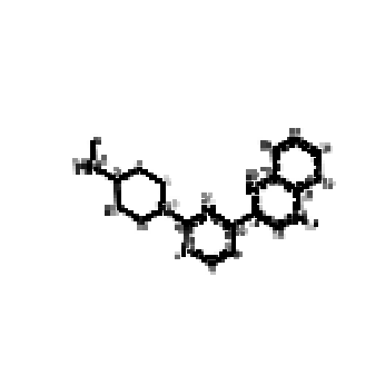 CNC1CCN(c2nccc(-c3cnc4ccccc4n3)n2)CC1